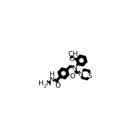 COc1ccccc1N(Cc1ccc(C(=O)NN)cc1)C(=O)N1CCSCC1